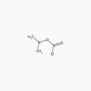 CN(C)OC(=S)Cl